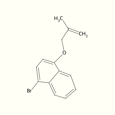 C=C(C)COc1ccc(Br)c2ccccc12